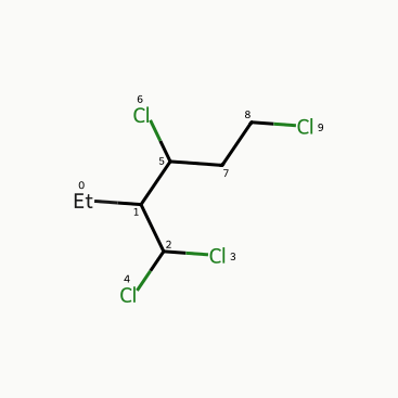 CCC(C(Cl)Cl)C(Cl)CCCl